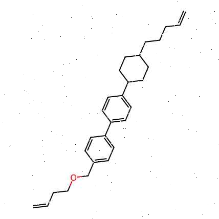 C=CCCCC1CCC(c2ccc(-c3ccc(COCCC=C)cc3)cc2)CC1